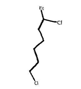 CCC(Cl)CCCCCCl